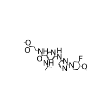 COC(=O)CCNC(=O)c1cnc(Nc2ccnc(N3CC[C@H](OC)[C@H](F)C3)n2)cc1NC(C)C